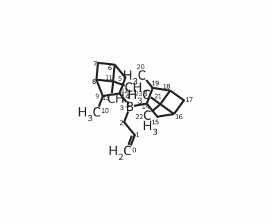 C=CCB(C1CC2CC(C1C)C2(C)C)C1CC2CC(C1C)C2(C)C